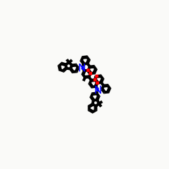 Cc1cc(N(c2ccc3c(c2)C(C)(C)c2ccccc2-3)c2ccccc2-c2ccccc2)ccc1-c1ccc(N(c2ccc3c(c2)C(C)(C)c2ccccc2-3)c2ccccc2-c2ccccc2)cc1C